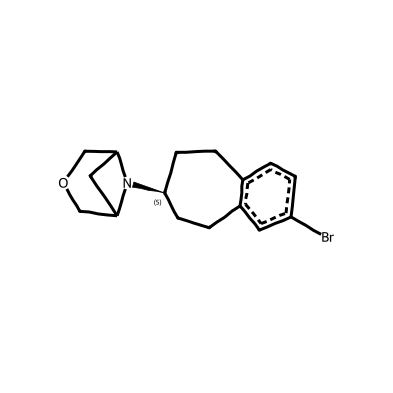 Brc1ccc2c(c1)CC[C@@H](N1C3COCC1C3)CC2